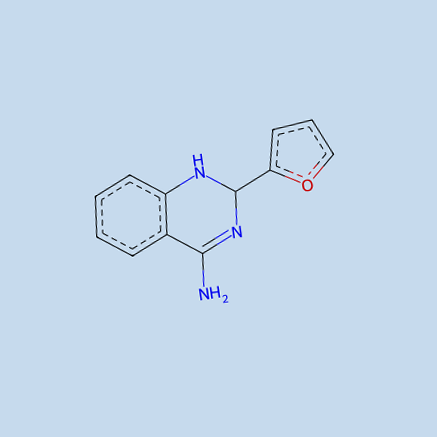 NC1=NC(c2ccco2)Nc2ccccc21